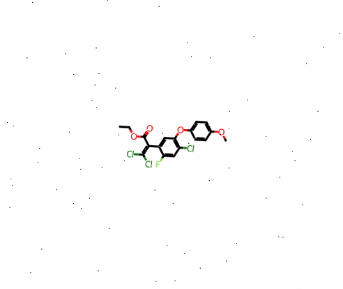 CCOC(=O)C(=C(Cl)Cl)c1cc(Oc2ccc(OC)cc2)c(Cl)cc1F